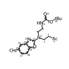 CC(=O)CCN(CCNC(=O)OC(C)(C)C)c1nc2cc(Cl)ccc2o1